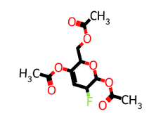 CC(=O)OCC1OC(OC(C)=O)C(F)C=C1OC(C)=O